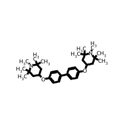 CN1C(C)(C)CC(Oc2ccc(-c3ccc(OC4CC(C)(C)N(C)C(C)(C)C4)cc3)cc2)CC1(C)C